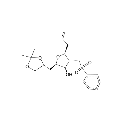 C=CC[C@@H]1O[C@H](CC2COC(C)(C)O2)[C@H](O)[C@H]1CS(=O)(=O)c1ccccc1